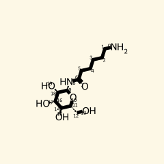 NCCCCCC(=O)N[C@@H]1O[C@H](CO)[C@@H](O)[C@H](O)[C@@H]1O